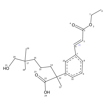 CCOC(=O)/C=C/c1cccc(C(C)(CCCC(C)(C)CO)C(=O)O)c1